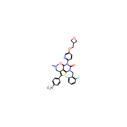 CN(C)Cc1c(-c2ccc([N+](=O)[O-])cc2)sc2c1c(=O)n(-c1ccc(OCC3COC3)cn1)c(=O)n2Cc1c(F)cccc1F